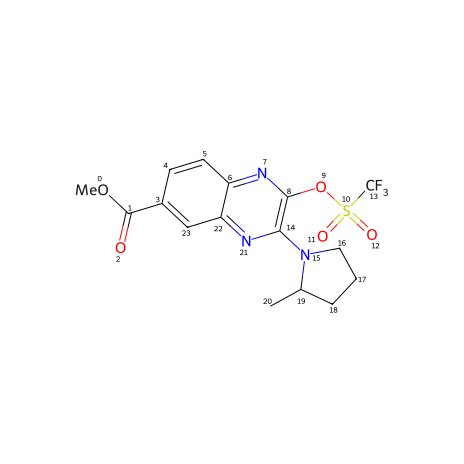 COC(=O)c1ccc2nc(OS(=O)(=O)C(F)(F)F)c(N3CCCC3C)nc2c1